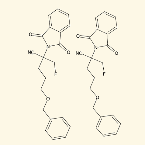 N#CC(CF)(CCCOCc1ccccc1)N1C(=O)c2ccccc2C1=O.N#CC(CF)(CCCOCc1ccccc1)N1C(=O)c2ccccc2C1=O